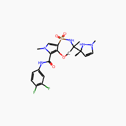 CN1C=CC(C)(C2(C)COc3c(cn(C)c3C(=O)Nc3ccc(F)c(F)c3)S(=O)(=O)N2)N1